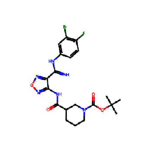 CC(C)(C)OC(=O)N1CCCC(C(=O)Nc2nonc2C(=N)Nc2ccc(F)c(Br)c2)C1